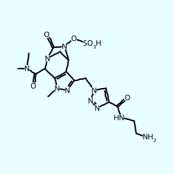 CN(C)C(=O)C1c2c(c(Cn3cc(C(=O)NCCN)nn3)nn2C)C2CN1C(=O)N2OS(=O)(=O)O